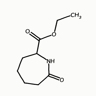 CCOC(=O)C1CCCCC(=O)N1